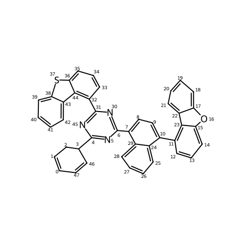 C1=CCC(c2nc(-c3ccc(-c4cccc5oc6ccccc6c45)c4ccccc34)nc(-c3cccc4sc5ccccc5c34)n2)C=C1